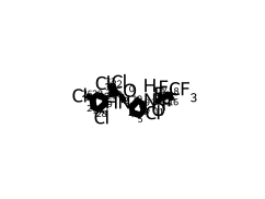 O=C(Nc1ccc(Cl)c(NC(=O)C(F)(F)C(F)(F)C(F)(F)F)c1)[C@H]1[C@H](c2cc(Cl)cc(Cl)c2)C1(Cl)Cl